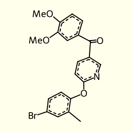 COc1ccc(C(=O)c2ccc(Oc3ccc(Br)cc3C)nc2)cc1OC